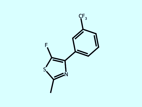 Cc1nc(-c2cccc(C(F)(F)F)c2)c(F)s1